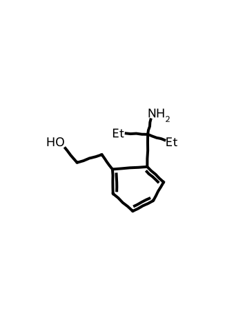 CCC(N)(CC)c1ccccc1CCO